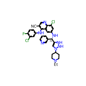 CCN1CCC(N2C=C([C@@H](Nc3cc(Cl)c4ncc(C#N)c(Nc5ccc(F)c(Cl)c5)c4c3)c3cccnc3)NN2)CC1